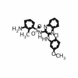 COc1ccc(Cl)c(Nc2nc3ccccc3nc2NS(=O)(=O)c2cccc(N)c2C)c1